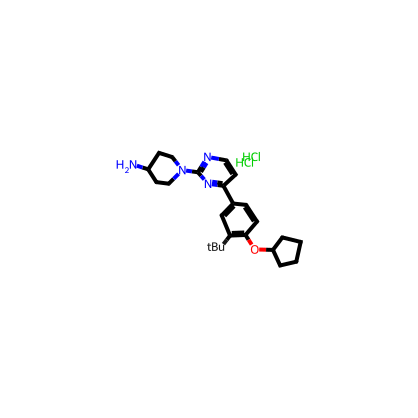 CC(C)(C)c1cc(-c2ccnc(N3CCC(N)CC3)n2)ccc1OC1CCCC1.Cl.Cl